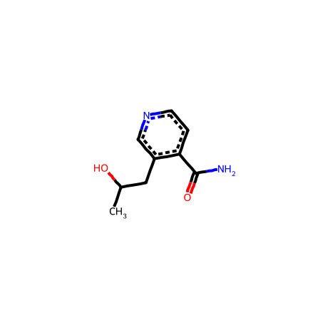 CC(O)Cc1cnccc1C(N)=O